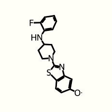 [O]c1ccc2sc(N3CCC(Nc4ccccc4F)CC3)nc2c1